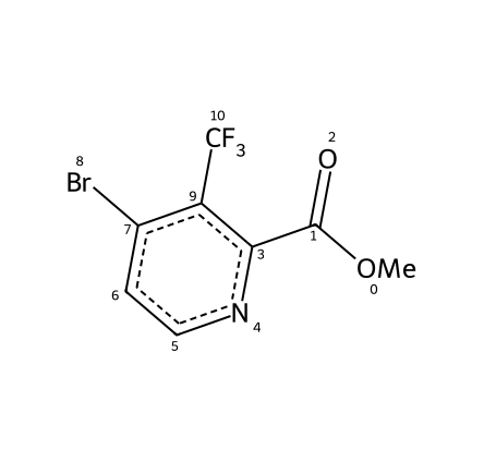 COC(=O)c1nccc(Br)c1C(F)(F)F